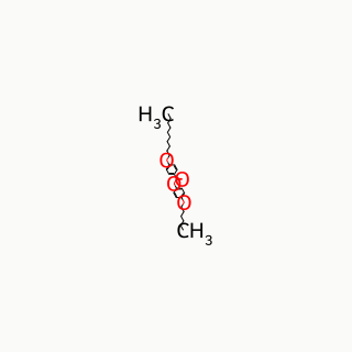 CCCCCCCCCCOc1ccc(C(=O)Oc2ccc(OCCCCCC)cc2)cc1